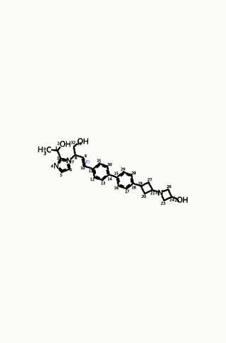 CC(O)c1nccn1C(/C=C/c1ccc(-c2ccc(C3CC(N4CC(O)C4)C3)cc2)cc1)CO